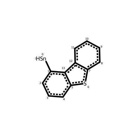 [SnH][c]1cccc2sc3ccccc3c12